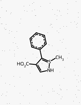 CS1=C(c2ccccc2)C(C(=O)O)=CN1